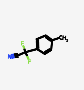 Cc1ccc(C(F)(F)C#N)cc1